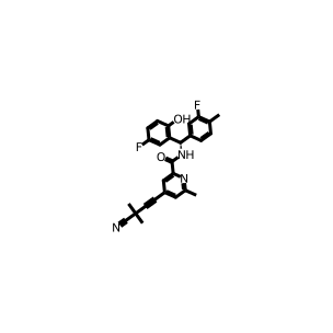 Cc1cc(C#CC(C)(C)C#N)cc(C(=O)N[C@@H](c2ccc(C)c(F)c2)c2cc(F)ccc2O)n1